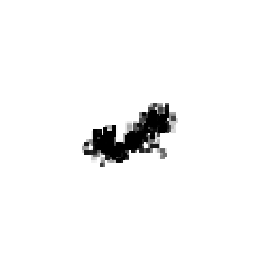 Cc1cc(C2=NOC(c3cc(Cl)c(F)c(Cl)c3)(C(F)(F)F)C2)ccc1C(=O)Nc1nc(C)n(C(F)C(F)F)n1